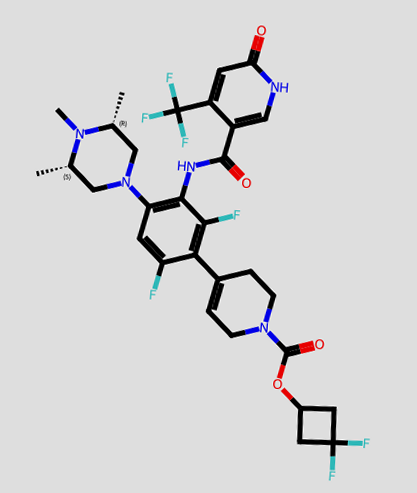 C[C@@H]1CN(c2cc(F)c(C3=CCN(C(=O)OC4CC(F)(F)C4)CC3)c(F)c2NC(=O)c2c[nH]c(=O)cc2C(F)(F)F)C[C@H](C)N1C